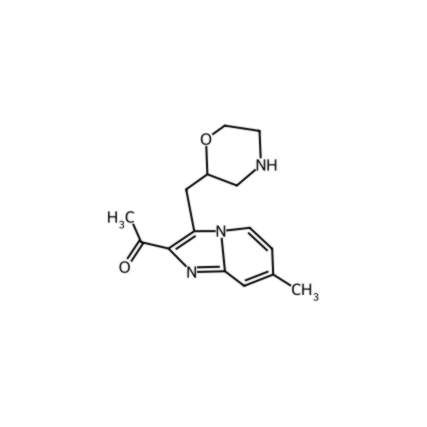 CC(=O)c1nc2cc(C)ccn2c1CC1CNCCO1